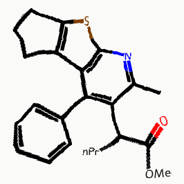 CCCC(C(=O)OC)c1c(C)nc2sc3c(c2c1-c1ccccc1)CCC3